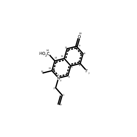 C=CCn1cc2c(F)cc(=O)cc-2c(C(=O)O)c1C